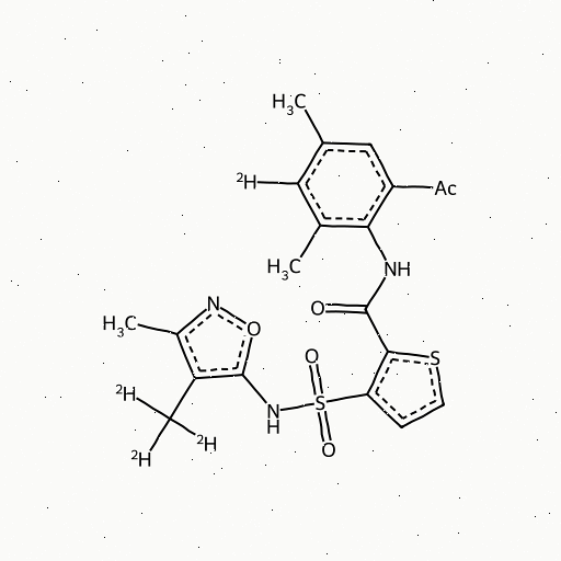 [2H]c1c(C)cc(C(C)=O)c(NC(=O)c2sccc2S(=O)(=O)Nc2onc(C)c2C([2H])([2H])[2H])c1C